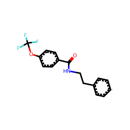 O=C(NCCc1cc[c]cc1)c1ccc(OC(F)(F)F)cc1